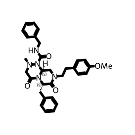 COc1ccc(CCN2C[C@H]3N(C(=O)CN(C)N3C(=O)NCc3ccccc3)[C@@H](Cc3ccccc3)C2=O)cc1